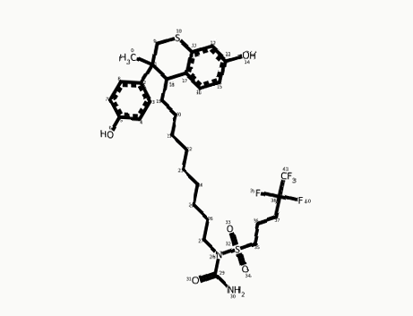 CC1(c2ccc(O)cc2)CSc2cc(O)ccc2C1CCCCCCCCCN(C(N)=O)S(=O)(=O)CCCC(F)(F)C(F)(F)F